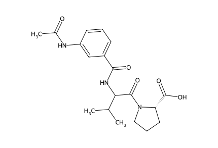 CC(=O)Nc1cccc(C(=O)NC(C(=O)N2CCC[C@H]2C(=O)O)C(C)C)c1